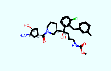 COC(=O)NCCC[C@@](O)(c1cccc(Cl)c1Cc1cccc(C)c1)[C@@H]1CCCN(C(=O)[C@H]2C[C@@H](N)[C@@H](O)C2)C1